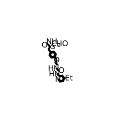 CCc1ccnc(NC(=O)NCCOc2ccc(CC(SC=O)C(N)=O)cc2)c1